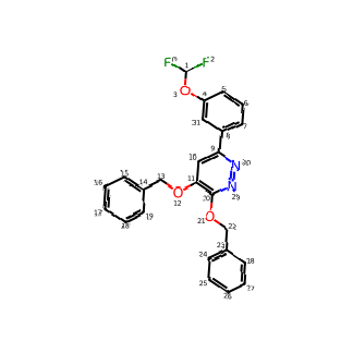 FC(F)Oc1cccc(-c2cc(OCc3ccccc3)c(OCc3ccccc3)nn2)c1